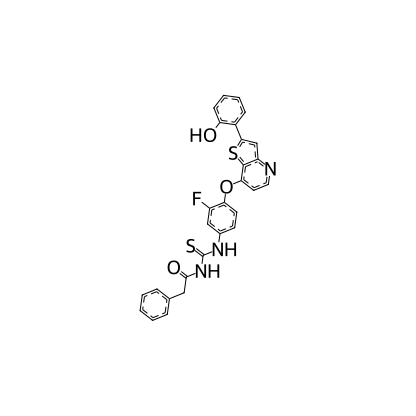 O=C(Cc1ccccc1)NC(=S)Nc1ccc(Oc2ccnc3cc(-c4ccccc4O)sc23)c(F)c1